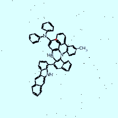 Cc1ccc(N2c3ccc(N(c4ccccc4)c4ccccc4)cc3Bc3c(-c4cccc5c4[nH]c4cc6ccccc6cc45)cc4ccccc4c32)c(-c2ccccc2)c1